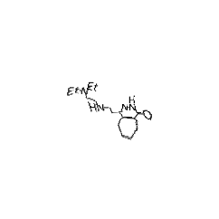 CCN(CC)CCNCCc1n[nH]c(=O)c2c1CCCC2